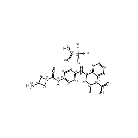 CCC(=O)N1c2ccccc2[C@H](Nc2ccc(NC(=O)N3CC(N)C3)cc2)C[C@@H]1C.O=C(O)C(F)(F)F